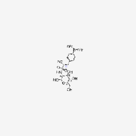 CCCN(CCC)c1ccc(/C=C(\C#N)S(=O)(=O)N[C@H]2C(O)O[C@H](CO)[C@@H](O)[C@@H]2O)cc1